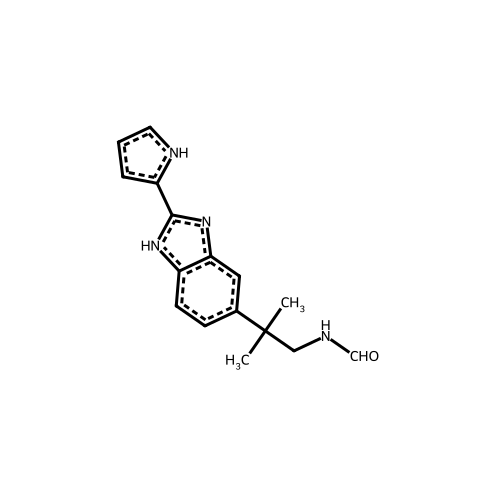 CC(C)(CNC=O)c1ccc2[nH]c(-c3ccc[nH]3)nc2c1